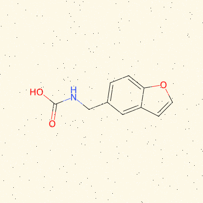 O=C(O)NCc1ccc2occc2c1